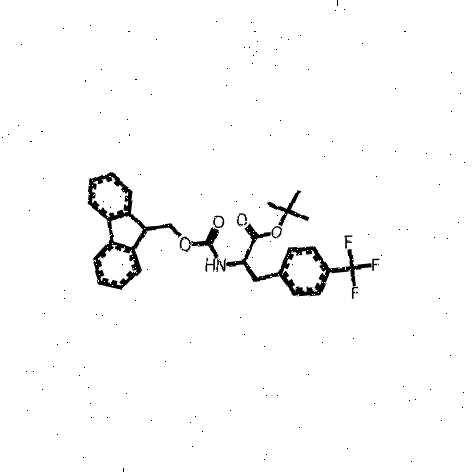 CC(C)(C)OC(=O)C(Cc1ccc(C(F)(F)F)cc1)NC(=O)OCC1c2ccccc2-c2ccccc21